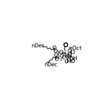 CCCCCCCCCCCCCCCC(=O)OCC(COC(=O)CCCCCCCCCCCCCCC)OC(=O)[C@H](CCc1ccccc1)N[C@@H](C)C(=O)N1[C@@H](OC(=O)OCCCCCCCC)C[C@@H]2CCC[C@@H]21